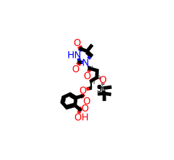 Cc1cn([C@H]2C[C@H](O[Si](C)(C)C(C)(C)C)[C@@H](COC(=O)c3ccccc3C(=O)O)O2)c(=O)[nH]c1=O